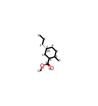 CCC[C@@H]1CCC(C)C(C(=O)OC)C1